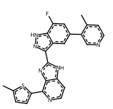 Cc1ccc(-c2nccc3[nH]c(-c4n[nH]c5c(F)cc(-c6cnccc6C)cc45)nc23)s1